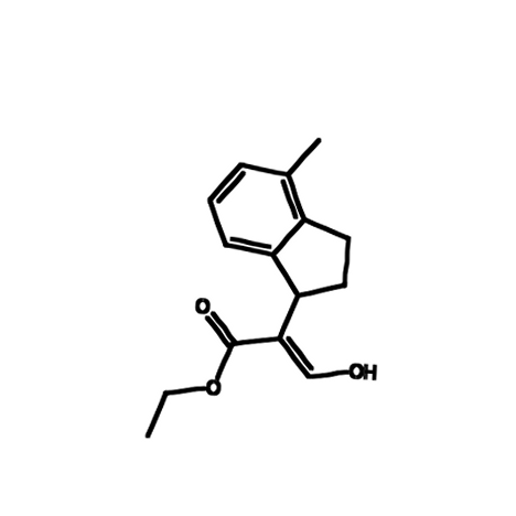 CCOC(=O)/C(=C/O)C1CCc2c(C)cccc21